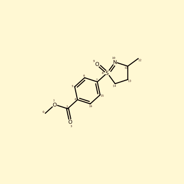 COC(=O)c1ccc(S2(=O)=NC(C)CC2)cc1